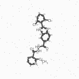 COc1ncccc1C(=O)NNC(=O)c1ccc2nc(-c3c(Cl)cccc3Cl)[nH]c2c1